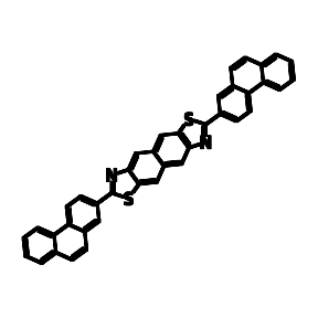 c1ccc2c(c1)ccc1cc(-c3nc4cc5cc6sc(-c7ccc8c(ccc9ccccc98)c7)nc6cc5cc4s3)ccc12